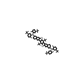 Cc1ccc(C(C)(C)C)cc1N(c1ccc2cc3c(cc2c1)oc1c(C(C)(C)C)c2c(oc4cc5cc(N(c6cc(C(C)(C)C)ccc6C)c6cc(C(C)(C)C)ccc6C)ccc5cc42)c(C(C)(C)C)c13)c1cc(C(C)(C)C)ccc1C